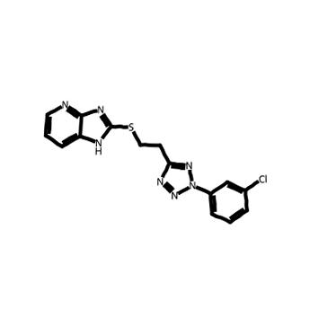 Clc1cccc(-n2nnc(CCSc3nc4ncccc4[nH]3)n2)c1